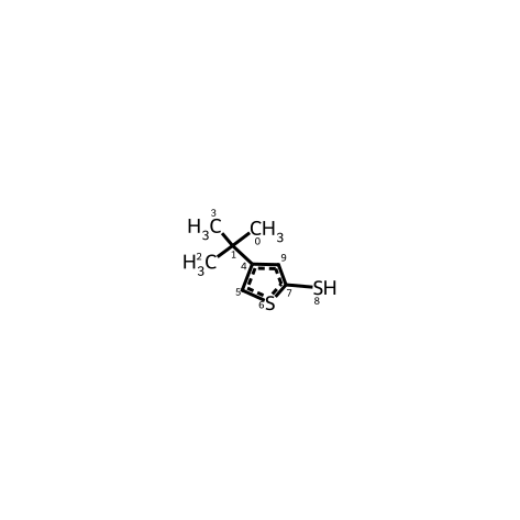 CC(C)(C)c1csc(S)c1